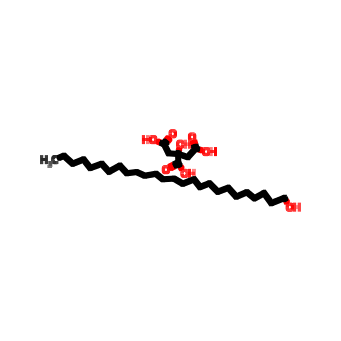 CCCCCCCCCCCCCCCCCCCCCCCCCCO.O=C(O)CC(O)(CC(=O)O)C(=O)O